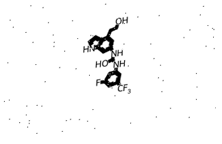 OCCc1cc(NC(O)Nc2cc(F)cc(C(F)(F)F)c2)cc2[nH]ccc12